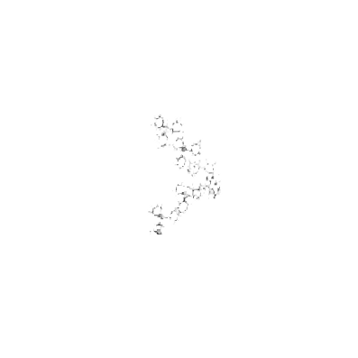 CC1(c2cccc(-c3cncnc3)c2)Cn2ccnc2C(N)=N1.[Pd].c1ccc(P(c2ccccc2)c2ccccc2)cc1.c1ccc(P(c2ccccc2)c2ccccc2)cc1.c1ccc(P(c2ccccc2)c2ccccc2)cc1.c1ccc(P(c2ccccc2)c2ccccc2)cc1